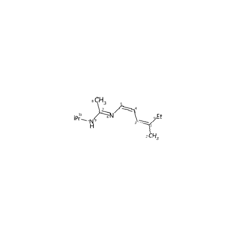 CC\C(C)=C/C=C\N=C(/C)NC(C)C